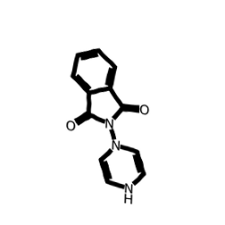 O=C1c2ccccc2C(=O)N1N1C=CNC=C1